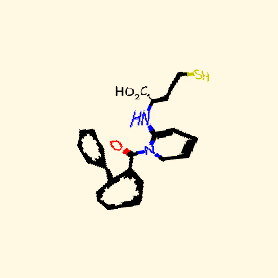 O=C(O)[C@H](CCS)NC1=CC=CCN1C(=O)c1ccccc1-c1ccccc1